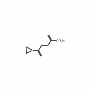 C=C(CCC(=C)N1CC1)C(=O)O